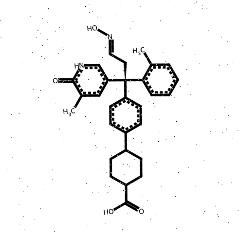 Cc1ccccc1[C@](C/C=N/O)(c1ccc(C2CCC(C(=O)O)CC2)cc1)c1c[nH]c(=O)c(C)c1